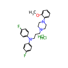 COc1ccccc1N1CCN(CCCN(c2ccc(F)cc2)c2ccc(F)cc2)CC1.Cl.Cl